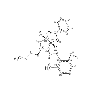 CCCC[C@H]1O[C@@H]2OC(c3ccccc3)O[C@@H]2[C@H]1OCc1c(C)cccc1C